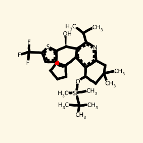 CC(C)c1nc2c(c(C3=CCCC3)c1[C@H](O)c1ccc(C(F)(F)F)s1)C(O[Si](C)(C)C(C)(C)C)CC(C)(C)C2